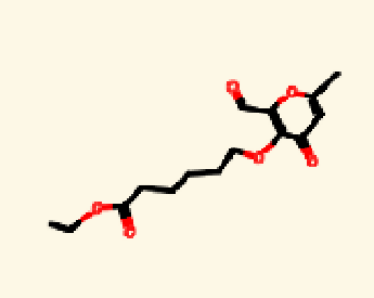 CCOC(=O)CCCCCOc1c(C=O)oc(C)cc1=O